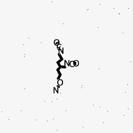 N#COCCCC(CCCN=C=O)CN=C=O